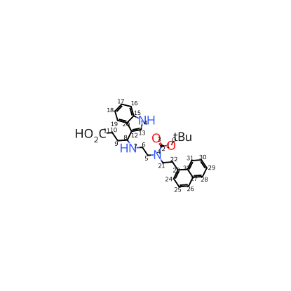 CC(C)(C)OC(=O)N(CCNC(CCC(=O)O)c1c[nH]c2ccccc12)CCc1cccc2ccccc12